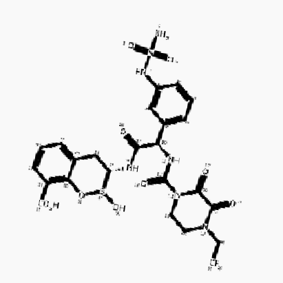 NS(=O)(=O)Nc1cccc([C@@H](NC(=O)N2CCN(CC(F)(F)F)C(=O)C2=O)C(=O)N[C@H]2Cc3cccc(C(=O)O)c3OB2O)c1